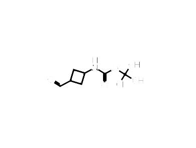 CC(C)(C)OC(=O)NC1CC(C=O)C1